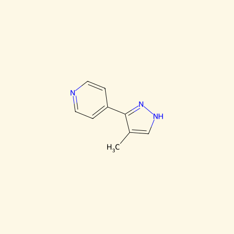 Cc1c[nH]nc1-c1ccncc1